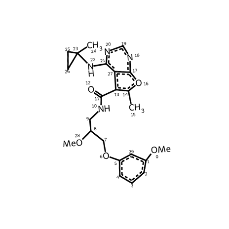 COc1cccc(OCC(CNC(=O)c2c(C)oc3ncnc(NC4(C)CC4)c23)OC)c1